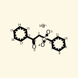 O=C(CS(=O)(=O)c1ccccc1)c1ccccc1.[Ir]